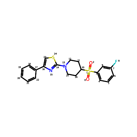 O=S(=O)(c1cccc(F)c1)C1CCN(c2nc(-c3ccccc3)cs2)CC1